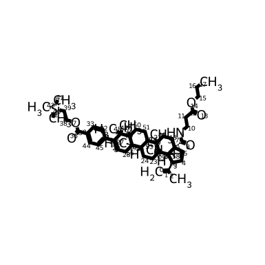 C=C(C)[C@@H]1CC[C@]2(C(=O)NCCC(=O)OCCC)CC[C@]3(C)[C@H](CC[C@@H]4[C@@]5(C)CC=C(c6ccc(C(=O)OCC[Si](C)(C)C)cc6)C(C)(C)[C@@H]5CC[C@]43C)[C@@H]12